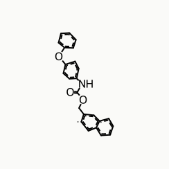 O=C(Nc1ccc(Oc2ccccc2)cc1)OCc1[c]cc2ccccc2c1